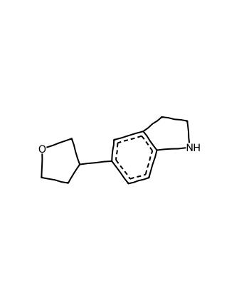 c1cc2c(cc1C1CCOC1)CCN2